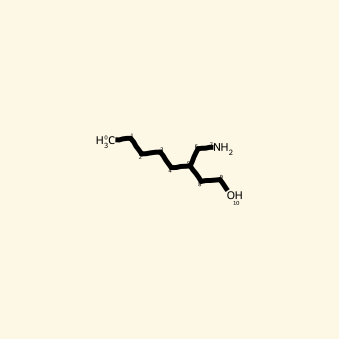 CCCCCC(CN)CCO